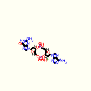 Nc1nc2c(ncn2[C@H]2C[C@@H]3OP(=O)(O)/C=C/[C@H]4O[C@@H](n5cnc6c(N)ncnc65)[C@H](F)[C@@H]4OP(=O)(O)OC[C@H]3O2)c(=O)[nH]1